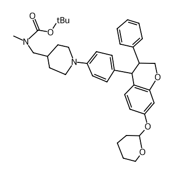 CN(CC1CCN(c2ccc(C3c4ccc(OC5CCCCO5)cc4OCC3c3ccccc3)cc2)CC1)C(=O)OC(C)(C)C